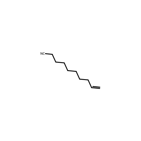 C=CCCCCCCCC#N